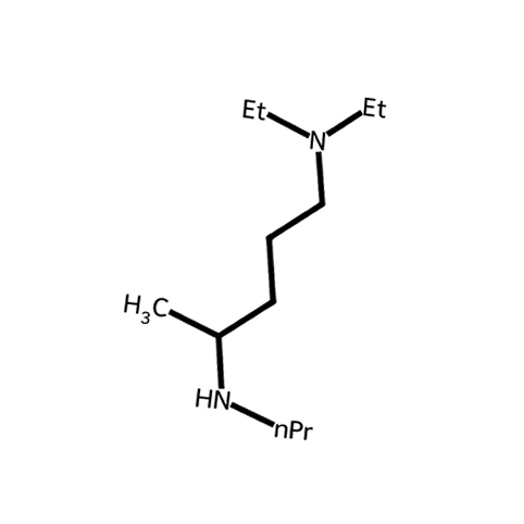 CCCNC(C)CCCN(CC)CC